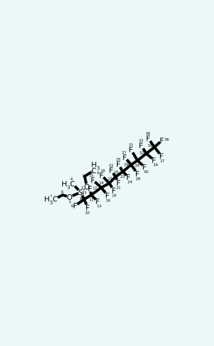 CCO[Si](C)(OCC)C(F)(F)C(F)(F)C(F)(F)C(F)(F)C(F)(F)C(F)(F)C(F)(F)C(F)(F)C(F)(F)C(F)(F)F